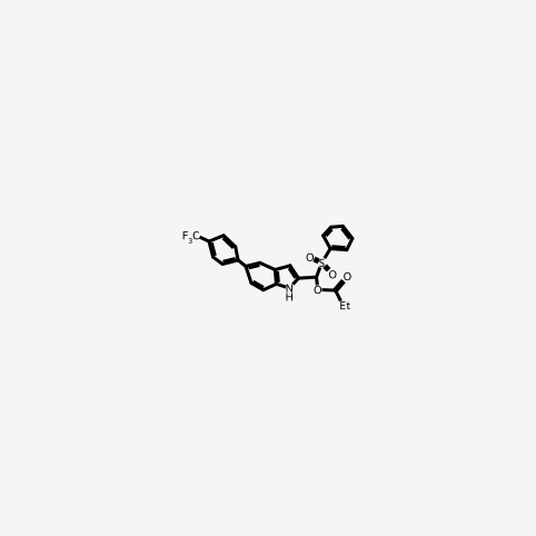 CCC(=O)OC(c1cc2cc(-c3ccc(C(F)(F)F)cc3)ccc2[nH]1)S(=O)(=O)c1ccccc1